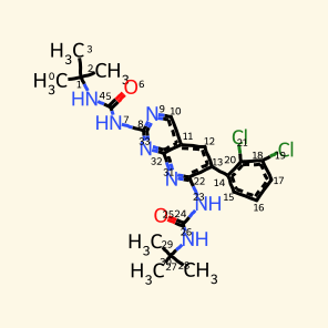 CC(C)(C)NC(=O)Nc1ncc2cc(-c3cccc(Cl)c3Cl)c(NC(=O)NC(C)(C)C)nc2n1